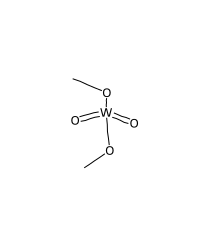 C[O][W](=[O])(=[O])[O]C